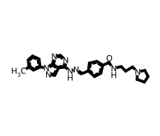 Cc1cccc(-n2ncc3c(N/N=C/c4ccc(C(=O)NCCCN5CCCC5)cc4)ncnc32)c1